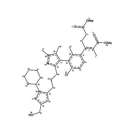 COC(=O)CC/C(=C(/C)C(=O)OC)c1ccc(Cl)c(-c2c(CSCc3cc(CO)nn3C3CCCCO3)nn(C)c2C)c1C